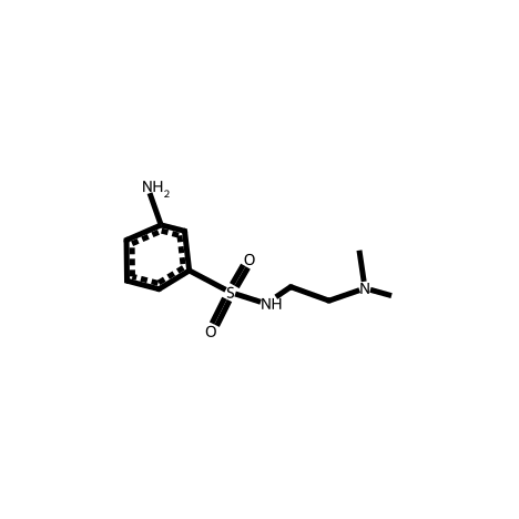 CN(C)CCNS(=O)(=O)c1cccc(N)c1